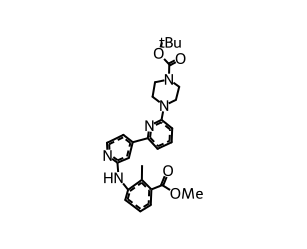 COC(=O)c1cccc(Nc2cc(-c3cccc(N4CCN(C(=O)OC(C)(C)C)CC4)n3)ccn2)c1C